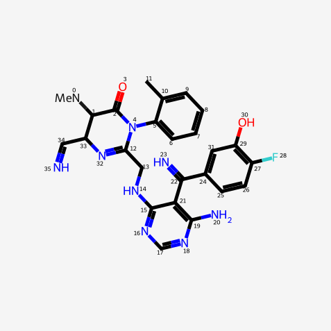 CNC1C(=O)N(c2ccccc2C)C(CNc2ncnc(N)c2C(=N)c2ccc(F)c(O)c2)=NC1C=N